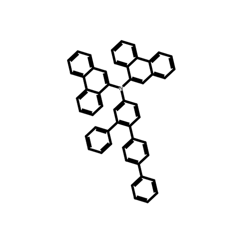 c1ccc(-c2ccc(-c3ccc(N(c4cc5ccccc5c5ccccc45)c4cc5ccccc5c5ccccc45)cc3-c3ccccc3)cc2)cc1